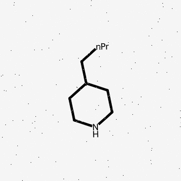 CCCC[C]1CCNCC1